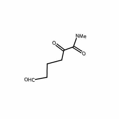 CNC(=O)C(=O)CCCC=O